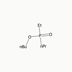 CCCCOP(=O)(CC)CCC